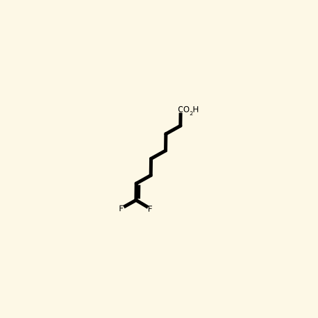 O=C(O)CCCCCC=C(F)F